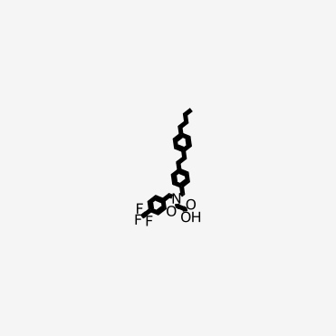 CCCCc1ccc(CCc2ccc(CN(Cc3ccc(C(F)(F)F)cc3)C(=O)C(=O)O)cc2)cc1